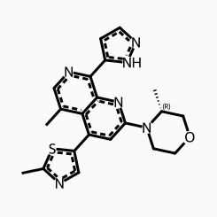 Cc1ncc(-c2cc(N3CCOC[C@H]3C)nc3c(-c4ccn[nH]4)ncc(C)c23)s1